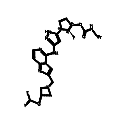 CC(C)NC(=O)O[C@@H]1CC[C@H](c2cc(Nc3nccc4nc(CN5CC(OC(F)F)C5)cn34)n[nH]2)[C@H]1F